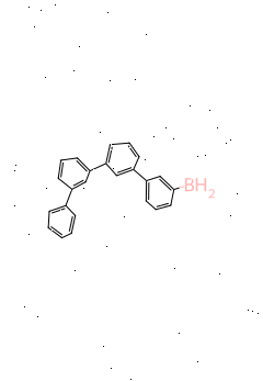 Bc1cccc(-c2cccc(-c3cccc(-c4ccccc4)c3)c2)c1